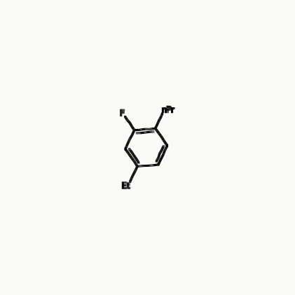 CCCc1ccc(CC)cc1F